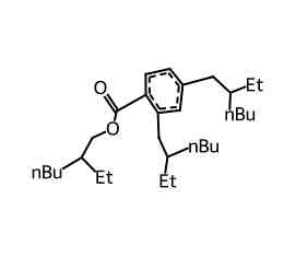 CCCCC(CC)COC(=O)c1ccc(CC(CC)CCCC)cc1CC(CC)CCCC